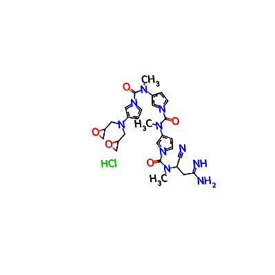 CN(C(=O)n1ccc(N(CC2CO2)CC2CO2)c1)c1ccn(C(=O)N(C)c2ccn(C(=O)N(C)C(C#N)CC(=N)N)c2)c1.Cl